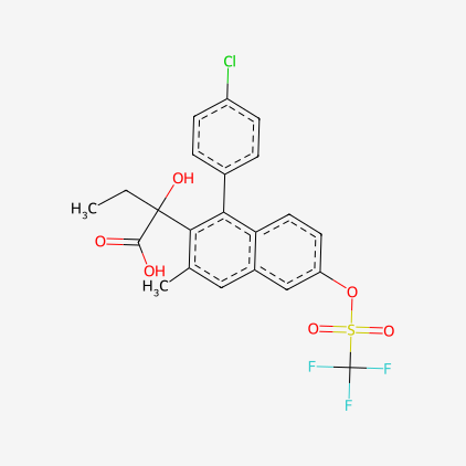 CCC(O)(C(=O)O)c1c(C)cc2cc(OS(=O)(=O)C(F)(F)F)ccc2c1-c1ccc(Cl)cc1